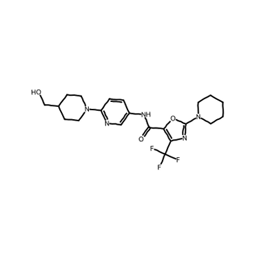 O=C(Nc1ccc(N2CCC(CO)CC2)nc1)c1oc(N2CCCCC2)nc1C(F)(F)F